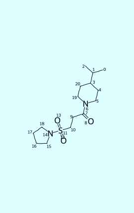 CC(C)C1CCN(C(=O)CCS(=O)(=O)N2CCCC2)CC1